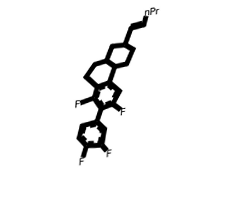 CCCC=CC1CCC2c3cc(F)c(-c4ccc(F)c(F)c4)c(F)c3CCC2C1